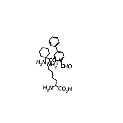 NC1(C(=O)O)CCCCC1.NCCCCC(N)C(=O)O.O=Cc1ccc(-c2ccccc2)cc1